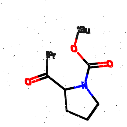 CC(C)C(=O)C1CCCN1C(=O)OC(C)(C)C